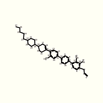 C=CCc1ccc(-c2ccc(-c3ccc(C4=CCC(C5CCC(CCCCC)CC5)CC4)c(F)c3)cc2)c(F)c1F